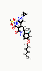 CS(=O)(=O)NC(=O)C1=C(c2cnn(C3CC3)c2)CC(c2ccc(OCCCCCC(F)(F)F)cc2F)(C(F)(F)F)NC1=O